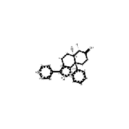 C[C@@H]1C(=O)CC[C@]2(c3ccccc3)c3n[nH]c(-c4ccnnc4)c3CC[C@@H]12